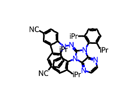 CC(C)c1cccc(C(C)C)c1-n1c(=Nn2c3ccc(C#N)cc3c3cc(C#N)ccc32)n(-c2c(C(C)C)cccc2C(C)C)c2nccnc21